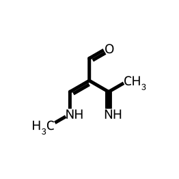 CN/C=C(/C=O)C(C)=N